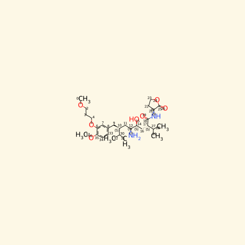 COCCCOc1cc(C[C@@H](C[C@H](N)[C@@H](O)C[C@H](C(=O)N[C@H]2CCOC2=O)C(C)C)C(C)C)ccc1OC